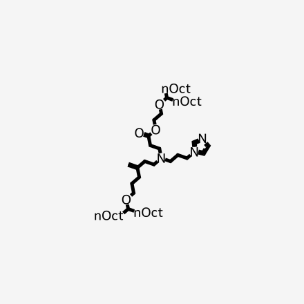 C=C(CCCOC(CCCCCCCC)CCCCCCCC)CCN(CCCn1ccnc1)CCC(=O)OCCOC(CCCCCCCC)CCCCCCCC